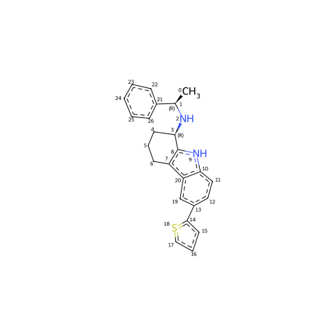 C[C@@H](N[C@@H]1CCCc2c1[nH]c1ccc(-c3cccs3)cc21)c1ccccc1